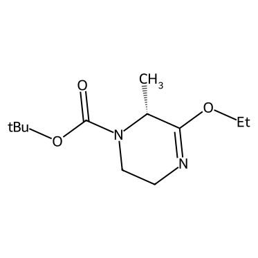 CCOC1=NCCN(C(=O)OC(C)(C)C)[C@@H]1C